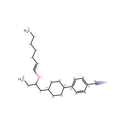 CCCCC/C=C/OC(CC)CC1CCC(c2ccc(C#N)cc2)CC1